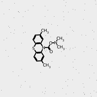 Cc1ccc2c(c1)N(C(=O)ON(C)C)c1cc(C)ccc1S2